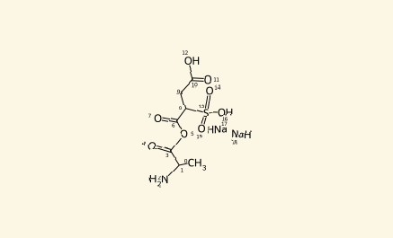 CC(N)C(=O)OC(=O)C(CC(=O)O)S(=O)(=O)O.[NaH].[NaH]